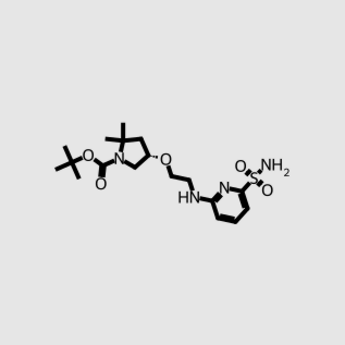 CC(C)(C)OC(=O)N1C[C@@H](OCCNc2cccc(S(N)(=O)=O)n2)CC1(C)C